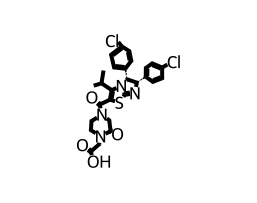 CC(C)C1=C(C(=O)N2CCN(CC(=O)O)C(=O)C2)SC2=N[C@@H](c3ccc(Cl)cc3)[C@@H](c3ccc(Cl)cc3)N21